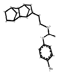 CCC(C)c1ccc(OC(C)OCCC2CC3CC2C2C4CCC(C4)C32)cc1